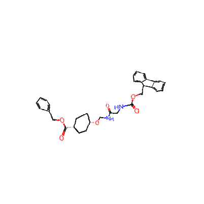 O=C(CNC(=O)OCC1c2ccccc2-c2ccccc21)NCO[C@H]1CC[C@@H](C(=O)OCc2ccccc2)CC1